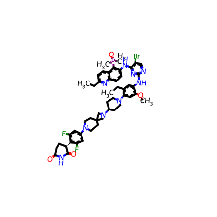 CCc1ccc2c(P(C)(C)=O)c(Nc3nc(Nc4cc(CC)c(N5CCC(N6CC7(CCN(c8cc(F)c([C@H]9CCC(=O)NC9=O)c(F)c8)CC7)C6)CC5)cc4OC)ncc3Br)ccc2n1